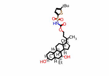 CC[C@H]1[C@@H](O)[C@@H]2[C@H](CC[C@]3(C)[C@@H]([C@H](C)CCOC(=O)NS(=O)(=O)c4ccc(C(C)(C)C)s4)CC[C@@H]23)[C@@]2(C)CC[C@@H](O)C[C@@H]12